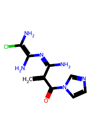 C=C(C(=O)n1ccnc1)/C(N)=N\C(N)=C(/N)Cl